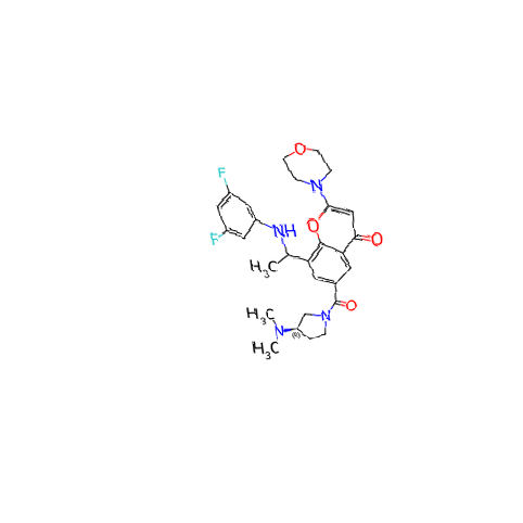 CC(Nc1cc(F)cc(F)c1)c1cc(C(=O)N2CC[C@@H](N(C)C)C2)cc2c(=O)cc(N3CCOCC3)oc12